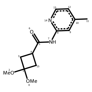 COC1(OC)CC(C(=O)Nc2cc(C)ccn2)C1